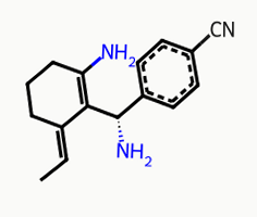 CC=C1CCCC(N)=C1[C@@H](N)c1ccc(C#N)cc1